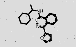 CC(Nc1nnc(-c2ccco2)c2ccccc12)C1CCCCC1